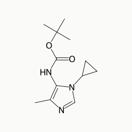 Cc1ncn(C2CC2)c1NC(=O)OC(C)(C)C